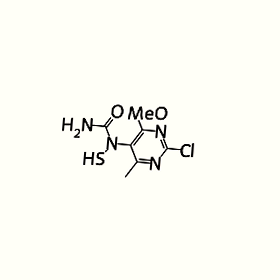 COc1nc(Cl)nc(C)c1N(S)C(N)=O